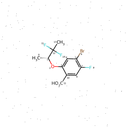 C[C@@H](Oc1cc(Br)c(F)cc1C(=O)O)C(C)(F)F